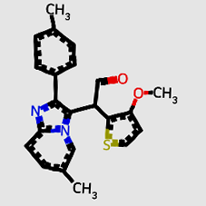 COc1ccsc1C(C=O)c1c(-c2ccc(C)cc2)nc2ccc(C)cn12